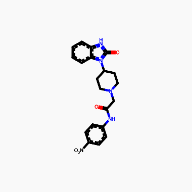 O=C(CN1CCC(n2c(=O)[nH]c3ccccc32)CC1)Nc1ccc([N+](=O)[O-])cc1